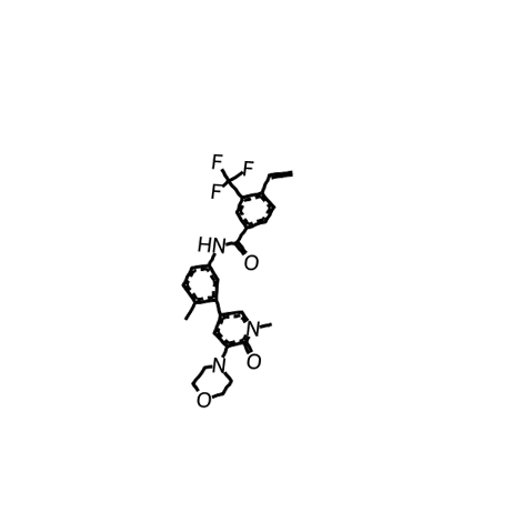 C=Cc1ccc(C(=O)Nc2ccc(C)c(-c3cc(N4CCOCC4)c(=O)n(C)c3)c2)cc1C(F)(F)F